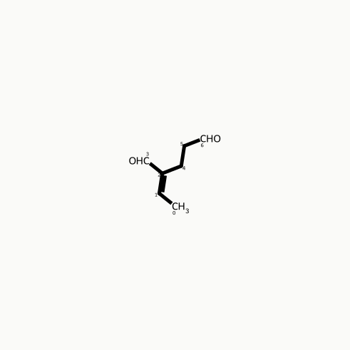 C/C=C(/C=O)CCC=O